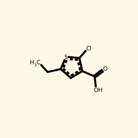 CCc1cc(C(=O)O)c(Cl)s1